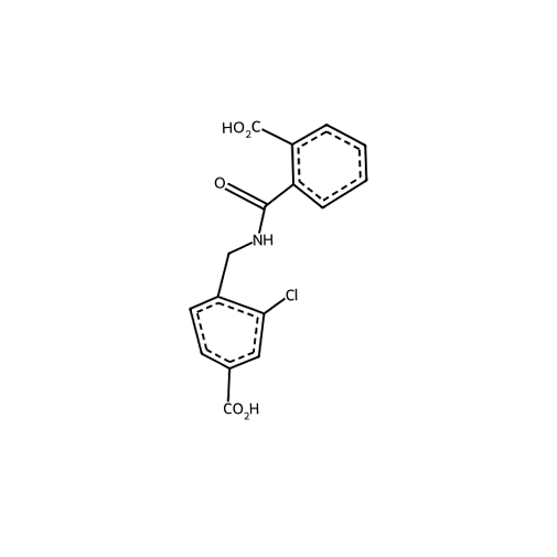 O=C(O)c1ccc(CNC(=O)c2ccccc2C(=O)O)c(Cl)c1